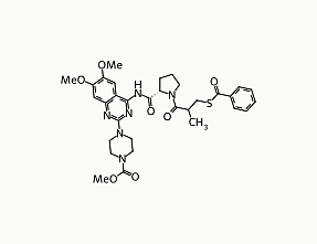 COC(=O)N1CCN(c2nc(NC(=O)[C@@H]3CCCN3C(=O)C(C)CSC(=O)c3ccccc3)c3cc(OC)c(OC)cc3n2)CC1